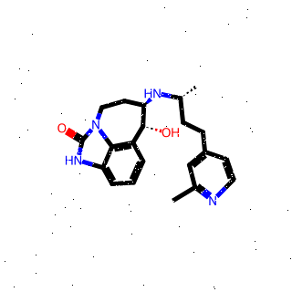 Cc1cc(CC[C@@H](C)N[C@@H]2CCn3c(=O)[nH]c4cccc(c43)[C@H]2O)ccn1